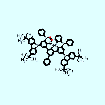 CC(C)(C)c1ccc2c(c1)c1cc(C(C)(C)C)ccc1n2-c1cc2c3c(c1)N(c1ccccc1)c1ccccc1B3N1B3c4ccccc4N(c4ccccc4)c4cc(-n5c6ccc(C(C)(C)C)cc6c6cc(C(C)(C)C)ccc65)cc(c43)-c3cc(-c4ccccc4)cc-2c31